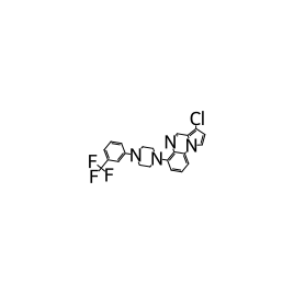 FC(F)(F)c1cccc(N2CCN(c3cccc4c3ncc3c(Cl)ccn34)CC2)c1